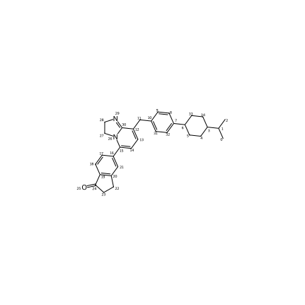 CC(C)C1CCC(c2ccc(CC3=CC=C(c4ccc5c(c4)CCC5=O)N4CCN=C34)cc2)CC1